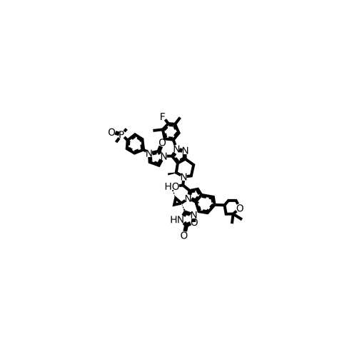 Cc1cc(-n2nc3c(c2-n2ccn(-c4ccc(P(C)(C)=O)cc4)c2=O)[C@H](C)N(C(O)c2cc4cc(C5CCOC(C)(C)C5)ccc4n2[C@@]2(c4noc(=O)[nH]4)C[C@@H]2C)CC3)cc(C)c1F